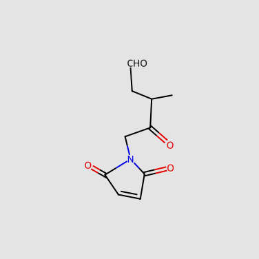 CC(CC=O)C(=O)CN1C(=O)C=CC1=O